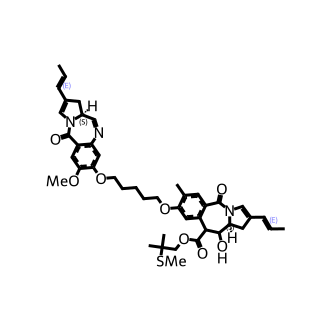 C/C=C/C1=CN2C(=O)c3cc(OC)c(OCCCCCOc4cc5c(cc4C)C(=O)N4C=C(/C=C/C)C[C@H]4C(O)C5C(=O)OCC(C)(C)SC)cc3N=C[C@@H]2C1